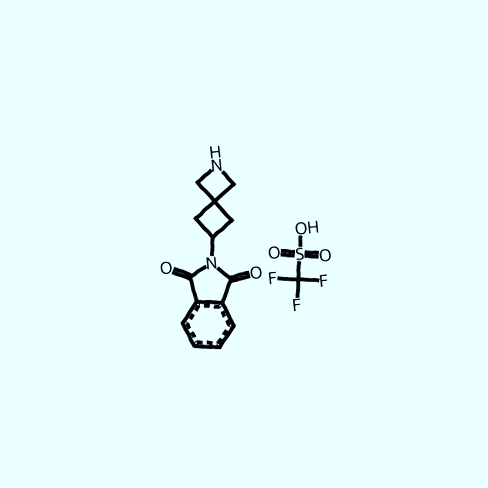 O=C1c2ccccc2C(=O)N1C1CC2(CNC2)C1.O=S(=O)(O)C(F)(F)F